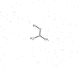 CCO[Si](C)C